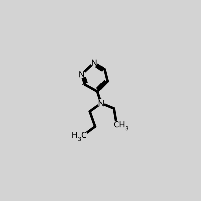 CCCN(CC)c1[c]nncc1